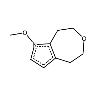 COn1ccc2c1CCOCC2